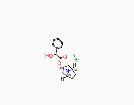 CBr.CN1[C@@H]2CC[C@H]1C[C@@H](OC(=O)C(O)c1ccccc1)C2